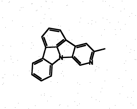 Cc1cc2c3cccc4c5ccccc5n(c2cn1)c43